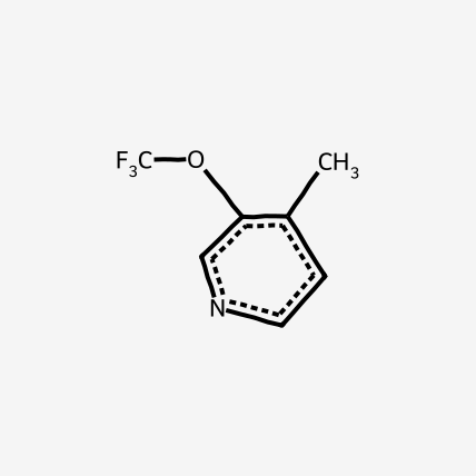 Cc1ccncc1OC(F)(F)F